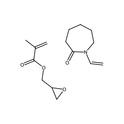 C=C(C)C(=O)OCC1CO1.C=CN1CCCCCC1=O